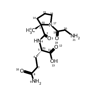 C[C@@]1(C(=O)N[C@@H](CCC(N)=O)C(=O)O)CCCN1C(=O)CN